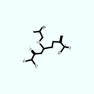 C=C(CCC(CC(=O)C(CC)CC)OCC(C)C(C)CC)C(CC)CC